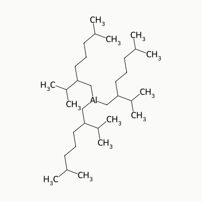 CC(C)CCCC([CH2][Al]([CH2]C(CCCC(C)C)C(C)C)[CH2]C(CCCC(C)C)C(C)C)C(C)C